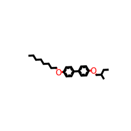 CCCCCCCCOc1ccc(-c2ccc(OCC(C)CC)cc2)cc1